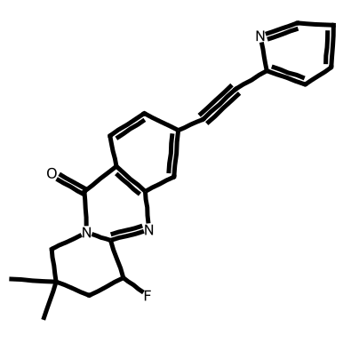 CC1(C)CC(F)c2nc3cc(C#Cc4ccccn4)ccc3c(=O)n2C1